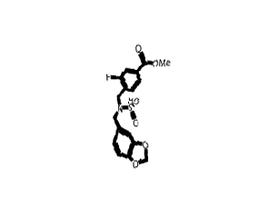 COC(=O)c1ccc(CN(Cc2ccc3c(c2)OCO3)[SH](=O)=O)c(F)c1